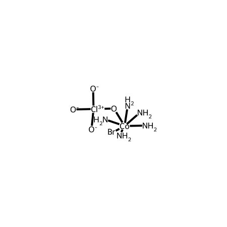 [NH2][Co]([NH2])([NH2])([NH2])([NH2])([Br])[O][Cl+3]([O-])([O-])[O-]